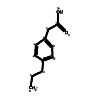 [CH2]CCc1ccc(CC(=O)O)cc1